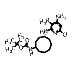 CC(C)(C)OC(=O)NC1CCCCC[C@@H](Nc2nc(Cl)cc(N)c2N)CC1